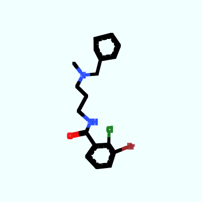 CN(CCCNC(=O)c1cccc(Br)c1Cl)Cc1ccccc1